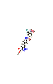 CCOC(=O)c1n[nH]c2cc(-c3ccc(NC(=O)c4ccc([N+](=O)[O-])c(C(F)(F)F)c4)cc3)ccc12